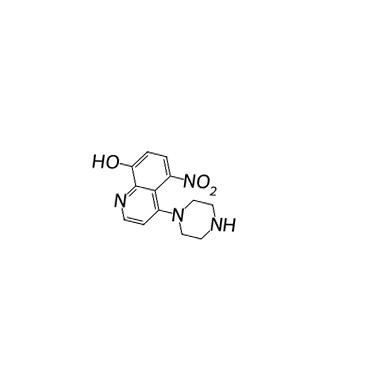 O=[N+]([O-])c1ccc(O)c2nccc(N3CCNCC3)c12